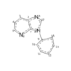 [c]1nc2cccnc2n1-c1ccccc1